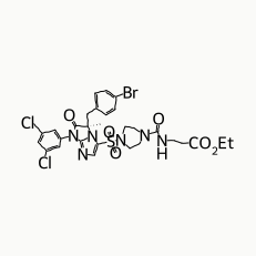 CCOC(=O)CCNC(=O)N1CCN(S(=O)(=O)c2cnc3n2[C@](C)(Cc2ccc(Br)cc2)C(=O)N3c2cc(Cl)cc(Cl)c2)CC1